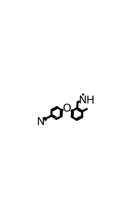 CNCc1c(C)cccc1Oc1ccc(C#N)cc1